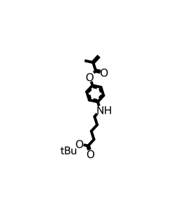 C=C(C)C(=O)Oc1ccc(NCCCCC(=O)OC(C)(C)C)cc1